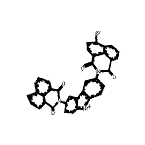 O=C1c2cccc3cccc(c23)C(=O)N1c1ccc2[nH]c3ccc(N4C(=O)c5cccc6c(Br)ccc(c56)C4=O)cc3c2c1